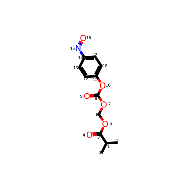 CC(C)C(=O)OCOC(=O)Oc1ccc(N=O)cc1